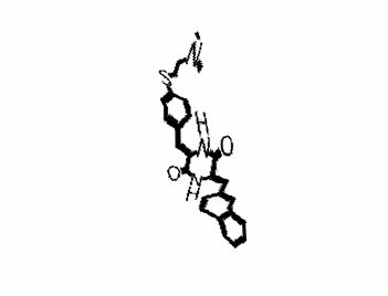 CN(C)CCSc1ccc(/C=c2\[nH]c(=O)/c(=C/c3ccc4ccccc4c3)[nH]c2=O)cc1